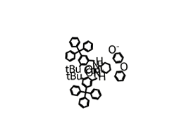 CC(C)(C)c1cc(C(c2ccccc2)(c2ccccc2)c2ccccc2)cc(C=[N+]2[Co][N+](=Cc3cc(C(c4ccccc4)(c4ccccc4)c4ccccc4)cc(C(C)(C)C)c3O)[C@@H]3CCCC[C@H]32)c1O.[O-]c1ccc(Oc2ccccc2)cc1